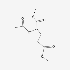 COC(=O)CCC(OC(C)=O)C(=O)OC